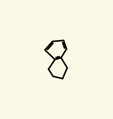 [c]1[c]c2c(cc1)CCCC2